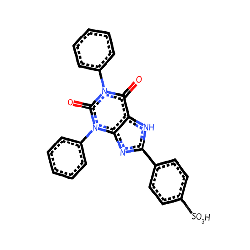 O=c1c2[nH]c(-c3ccc(S(=O)(=O)O)cc3)nc2n(-c2ccccc2)c(=O)n1-c1ccccc1